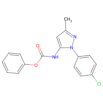 Cc1cc(NC(=O)Oc2ccccc2)n(-c2ccc(Cl)cc2)n1